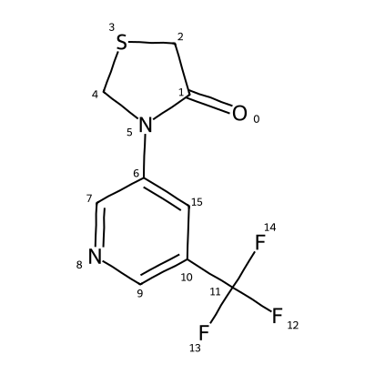 O=C1CSCN1c1cncc(C(F)(F)F)c1